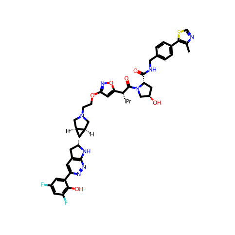 Cc1ncsc1-c1ccc(CNC(=O)[C@@H]2C[C@@H](O)CN2C(=O)[C@@H](c2cc(OCCN3C[C@@H]4[C@H](C3)[C@H]4C3Cc4cc(-c5cc(F)cc(F)c5O)nnc4N3)no2)C(C)C)cc1